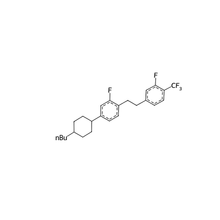 CCCCC1CCC(c2ccc(CCc3ccc(C(F)(F)F)c(F)c3)c(F)c2)CC1